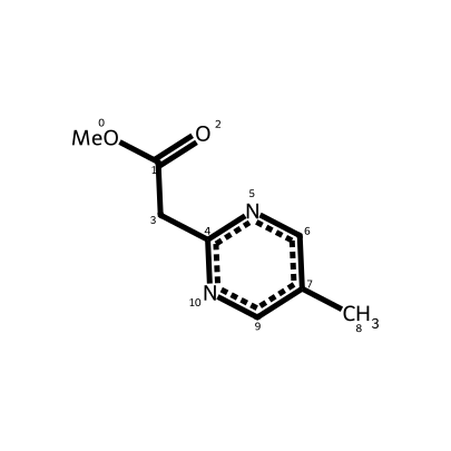 COC(=O)Cc1ncc(C)cn1